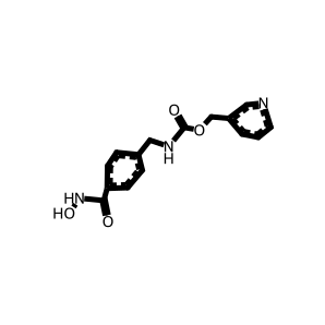 O=C(NCc1ccc(C(=O)NO)cc1)OCc1cccnc1